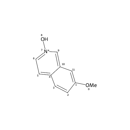 COc1ccc2cc[n+](O)cc2c1